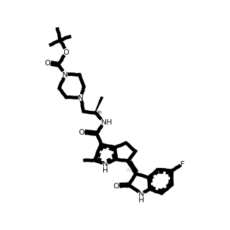 Cc1[nH]c2c(c1C(=O)N[C@H](C)CN1CCN(C(=O)OC(C)(C)C)CC1)CC/C2=C1/C(=O)Nc2ccc(F)cc21